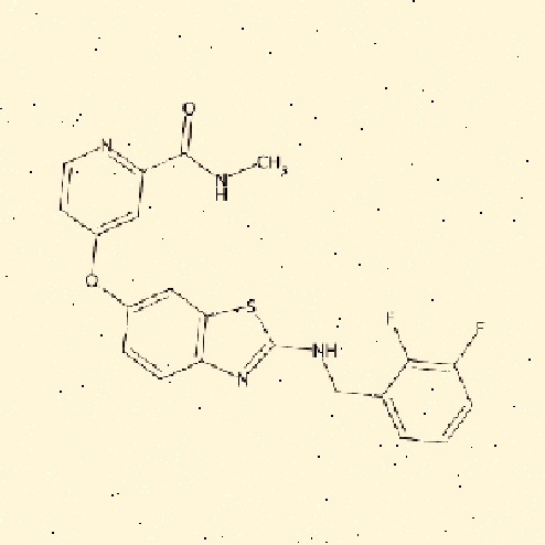 CNC(=O)c1cc(Oc2ccc3nc(NCc4cccc(F)c4F)sc3c2)ccn1